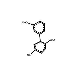 COc1cccc(-c2cc(C(C)(C)C)ccc2OC(C)=O)c1